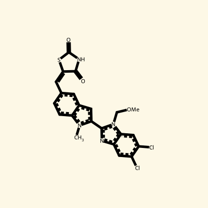 COCn1c(-c2cc3cc(C=C4SC(=O)NC4=O)ccc3n2C)nc2cc(Cl)c(Cl)cc21